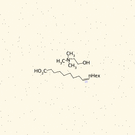 CCCCCC/C=C\CCCCCCCC(=O)O.C[N+](C)(C)CCO